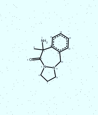 CC1(N)C(=O)N2CCCN2Cc2ccccc21